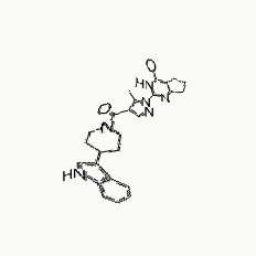 Cc1c(C(=O)N2CCC(c3c[nH]c4ccccc34)CC2)cnn1-c1nc2c(c(=O)[nH]1)CCC2